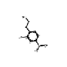 CC(C)(C)CCc1ccc(B(O)O)cc1F